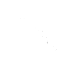 [CH2]CCCCCCCCCNCCNCN